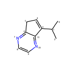 CC(C)C1=CCc2nccnc21